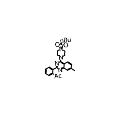 CCCCS(=O)(=O)N1CCN(c2nc(-c3ccccc3C(C)=O)nc3cc(C)ccc23)CC1